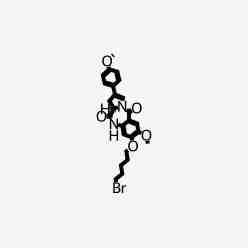 COc1ccc(C2=CN3C(=O)c4cc(OC)c(OCCCCCBr)cc4NC(=O)[C@@H]3C2)cc1